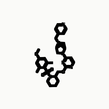 COc1cc(C)c(S(=O)(=O)N2CCCCC2COc2nccc(N3CC4CC3CN4Cc3ccncc3)n2)c(C)c1